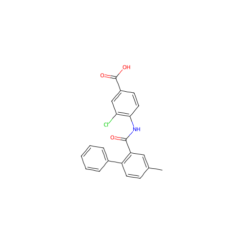 Cc1ccc(-c2ccccc2)c(C(=O)Nc2ccc(C(=O)O)cc2Cl)c1